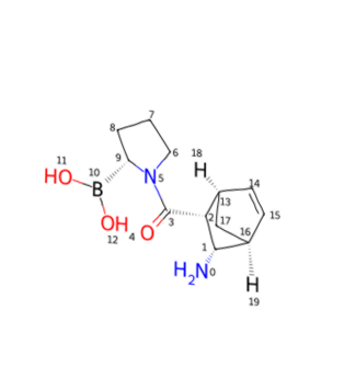 N[C@@H]1[C@H](C(=O)N2CCC[C@H]2B(O)O)[C@H]2C=C[C@@H]1C2